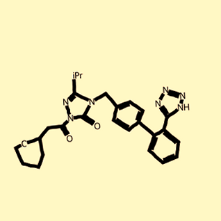 CC(C)c1nn(C(=O)CC2CCCCC2)c(=O)n1Cc1ccc(-c2ccccc2-c2nnn[nH]2)cc1